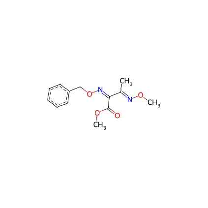 CO/N=C(C)/C(=N/OCc1ccccc1)C(=O)OC